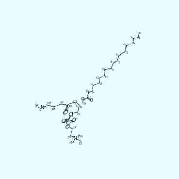 CCCCCCCCCCCCCCCCCC(=O)OC[C@H](COP(=O)([O-])OCC[N+](C)(C)C)OC(=O)CCCN